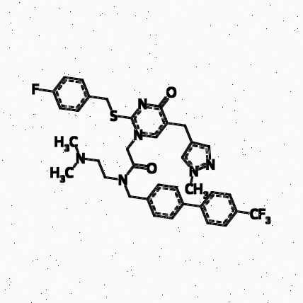 CN(C)CCN(Cc1ccc(-c2ccc(C(F)(F)F)cc2)cc1)C(=O)Cn1cc(Cc2cnn(C)c2)c(=O)nc1SCc1ccc(F)cc1